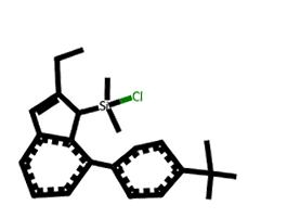 CCC1=Cc2cccc(-c3ccc(C(C)(C)C)cc3)c2C1[Si](C)(C)Cl